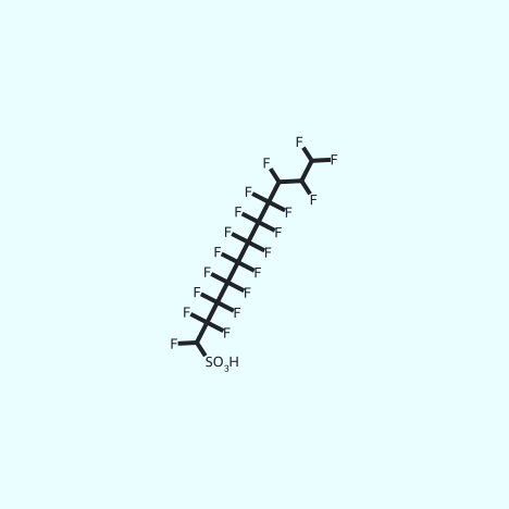 O=S(=O)(O)C(F)C(F)(F)C(F)(F)C(F)(F)C(F)(F)C(F)(F)C(F)(F)C(F)(F)C(F)C(F)C(F)F